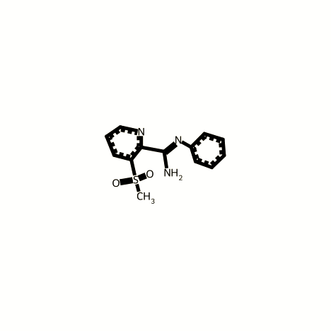 CS(=O)(=O)c1cccnc1C(N)=Nc1ccccc1